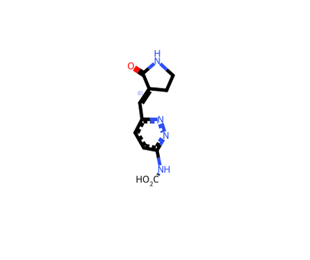 O=C(O)Nc1ccc(/C=C2\CCNC2=O)nn1